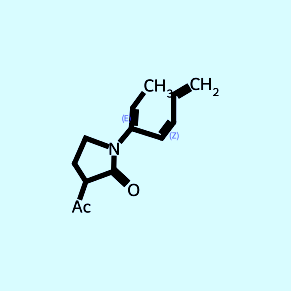 C=C/C=C\C(=C/C)N1CCC(C(C)=O)C1=O